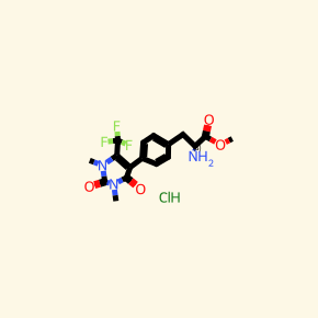 COC(=O)[C@@H](N)Cc1ccc(-c2c(C(F)(F)F)n(C)c(=O)n(C)c2=O)cc1.Cl